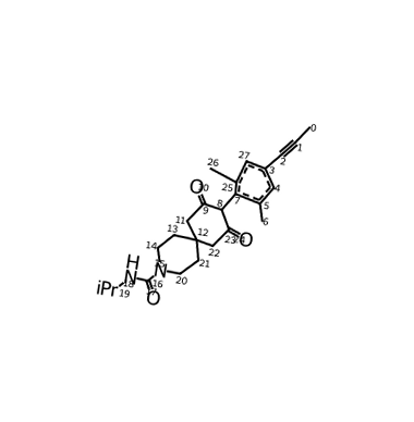 CC#Cc1cc(C)c(C2C(=O)CC3(CCN(C(=O)NC(C)C)CC3)CC2=O)c(C)c1